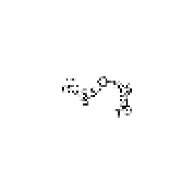 C=C(C)C(=O)OCC1CSC(CSCc2cccc(CSCC3SCC(COC(=O)C(=C)C)S3)c2)S1